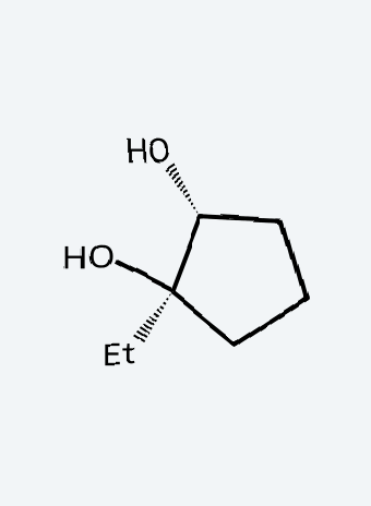 CC[C@@]1(O)CCC[C@H]1O